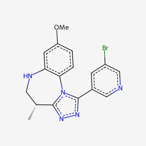 COc1ccc2c(c1)NC[C@@H](C)c1nnc(-c3cncc(Br)c3)n1-2